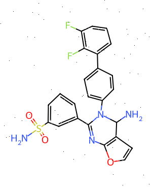 NC1c2ccoc2N=C(c2cccc(S(N)(=O)=O)c2)N1c1ccc(-c2cccc(F)c2F)cc1